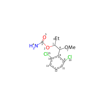 CCC(OC(N)=O)C(OC)c1c(Cl)cccc1Cl